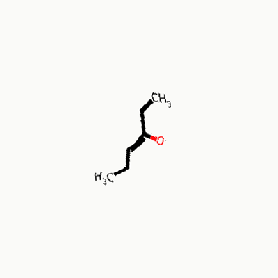 CC/C=C(\[O])CC